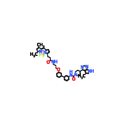 CC1=CC(C)=[N+]2C1=Cc1ccc(CCC(=O)NCCCOc3cccc(-c4cccc(NC(=O)N5CC=C(c6ncnc7[nH]cc(C)c67)CC5)c4)c3)n1[B-]2(F)F